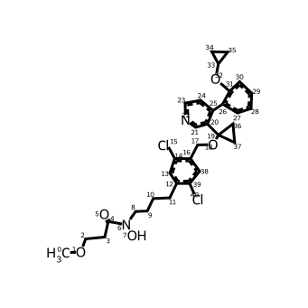 COCCC(=O)N(O)CCCCc1cc(Cl)c(COC2(c3cnccc3-c3ccccc3OC3CC3)CC2)cc1Cl